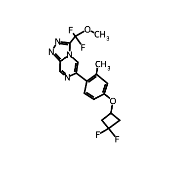 COC(F)(F)c1nnc2cnc(-c3ccc(OC4CC(F)(F)C4)cc3C)cn12